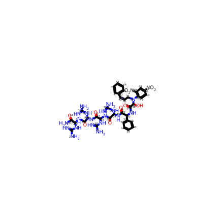 N=C(N)NC(NC(=O)C(NC(=N)N)NC(=O)C(NC(=N)N)NC(=O)C(NC(=N)N)NC(=O)C(NC(=O)C(O)N(C/C=C\c1ccccc1)c1ccc([N+](=O)[O-])cc1[N+](=O)[O-])c1ccccc1)C(N)=O